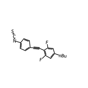 CCCCc1cc(F)c(C#Cc2ccc(N=C=S)cc2)c(F)c1